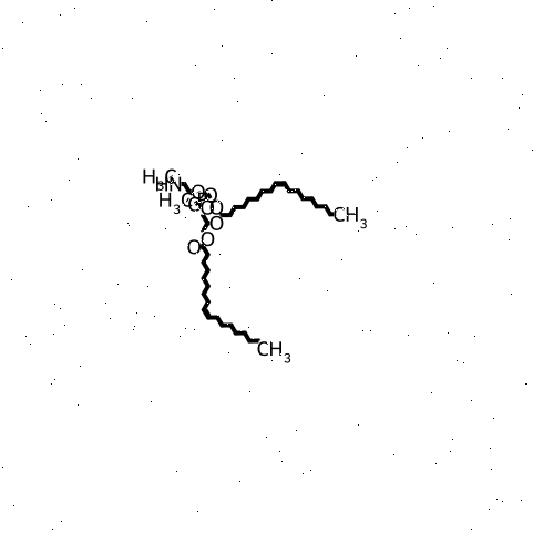 CCCCCCCC/C=C\CCCCCCCC(=O)OCC(COP(=O)(OC)OCCNC)OC(=O)CCCCCCC/C=C\CCCCCCCC